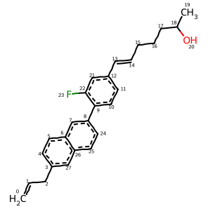 C=CCc1ccc2cc(-c3ccc(C=CCCCC(C)O)cc3F)ccc2c1